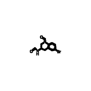 O=CNC1Cc2cc(Br)ccc2N(C=O)C1